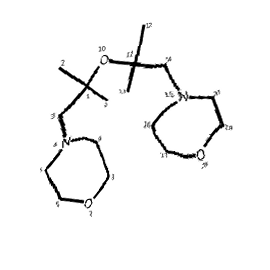 CC(C)(CN1CCOCC1)OC(C)(C)CN1CCOCC1